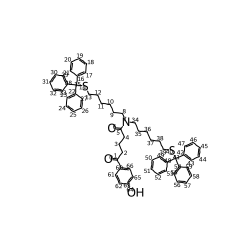 O=C(CCCC(=O)N(CCCCCCSC(c1ccccc1)(c1ccccc1)c1ccccc1)CCCCCCSC(c1ccccc1)(c1ccccc1)c1ccccc1)c1ccc(O)cc1